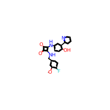 COc1cc(CNc2c(Nc3ccc(O)c(-c4ccccn4)c3)c(=O)c2=O)ccc1F